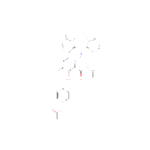 CC(=O)Oc1ccc(COc2c3n(ccc2=O)N([C@@H]2c4ccccc4SCc4c(Cl)cccc42)CN(C(C)C)C3=O)cc1